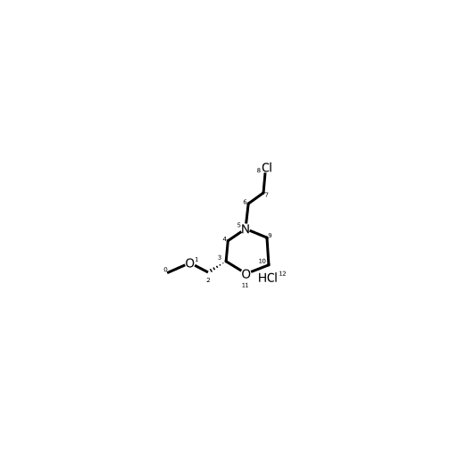 COC[C@@H]1CN(CCCl)CCO1.Cl